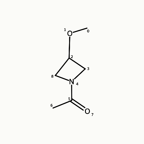 COC1CN(C(C)=O)C1